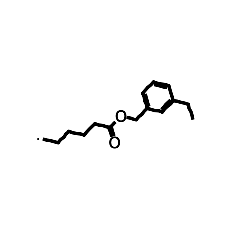 [CH2]CCCCC(=O)OCc1cccc(CC)c1